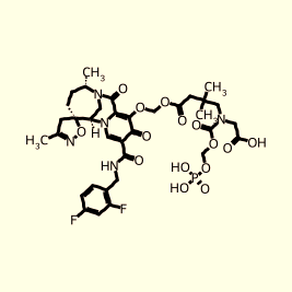 CC1=NO[C@@]2(CC[C@H](C)N3C[C@H]2n2cc(C(=O)NCc4ccc(F)cc4F)c(=O)c(OCOC(=O)CC(C)(C)CN(CC(=O)O)C(=O)OCOP(=O)(O)O)c2C3=O)C1